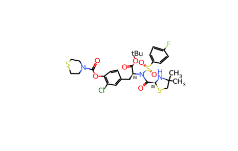 CC1(C)CS[C@@H](C(=O)N([C@@H](Cc2ccc(OC(=O)N3CCSCC3)c(Cl)c2)C(=O)OC(C)(C)C)S(=O)(=O)c2ccc(F)cc2)N1